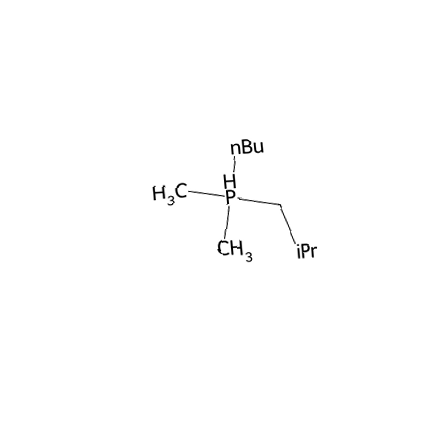 CCCC[PH](C)(C)CC(C)C